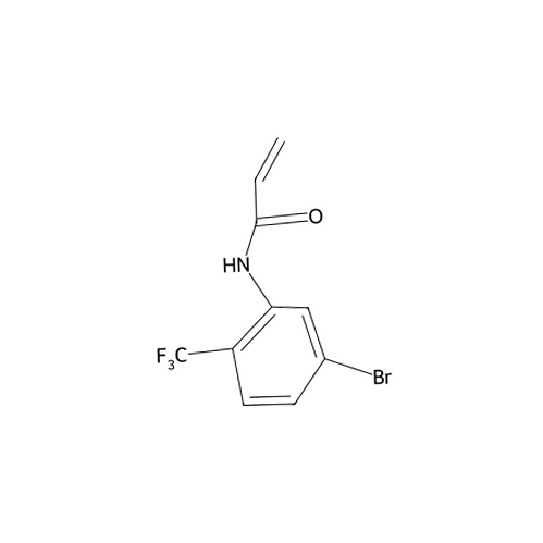 C=CC(=O)Nc1cc(Br)ccc1C(F)(F)F